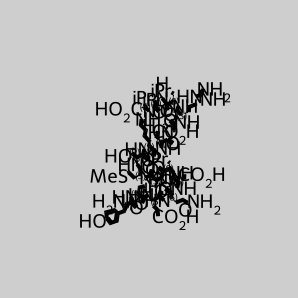 CSCC[C@H](NC(=O)[C@H](C)NC(=O)[C@H](CC(C)C)NC(=O)[C@H](CC(=O)O)NC(=O)[C@H](CCC(N)=O)NC(=O)[C@H](CCC(=O)O)NC(=O)[C@H](CC(C)C)NC(=O)[C@@H](N)Cc1ccc(O)cc1)C(=O)N[C@H](C(=O)N[C@@H](CCCCN)C(=O)N[C@@H](CC(=O)O)C(=O)NCC(=O)N[C@@H](CCCNC(=N)N)C(=O)N[C@@H](CC(C)C)C(=O)N[C@H](C(=O)N[C@H](C(=O)O)C(C)C)C(C)C)[C@@H](C)O